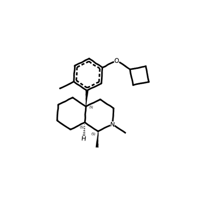 Cc1ccc(OC2CCC2)cc1[C@]12CCCC[C@@H]1[C@H](C)N(C)CC2